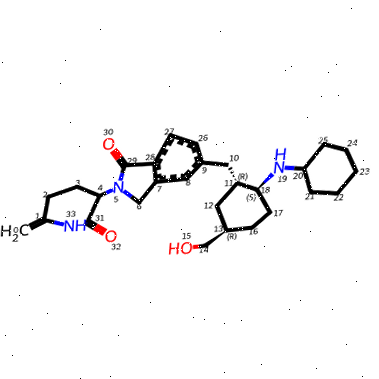 C=C1CCC(N2Cc3cc(C[C@H]4C[C@H](CO)CC[C@@H]4NC4CCCCC4)ccc3C2=O)C(=O)N1